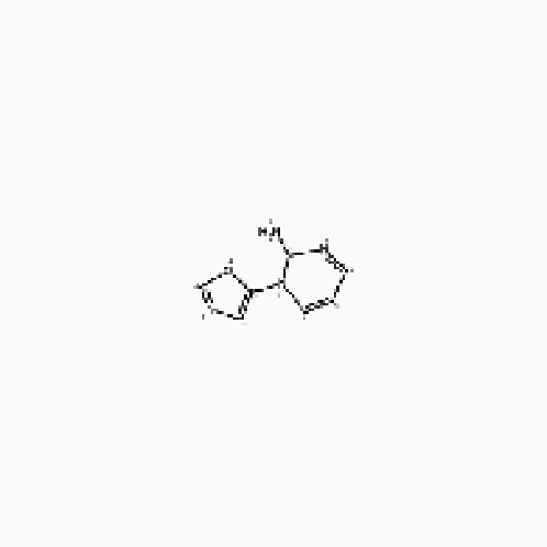 NC1N=CC=CN1c1cnco1